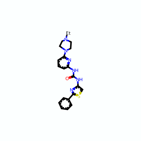 CCN1CCN(c2cccc(NC(=O)Nc3csc(-c4ccccc4)n3)n2)CC1